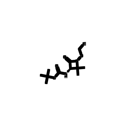 CC(C)(C)OC(=O)N[C@@H]1C(=O)N(OCCl)C1(C)C